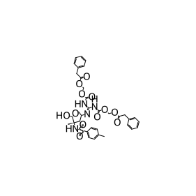 Cc1ccc(S(=O)(=O)N[C@@](C)(CC(C)N=C(NC(=O)OCOC(=O)Cc2ccccc2)NC(=O)OCOC(=O)Cc2ccccc2)C(=O)O)cc1